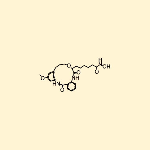 COc1cc2cc(c1)NC(=O)c1ccccc1NC(=O)C(CCCCCC(=O)NO)OCCC2